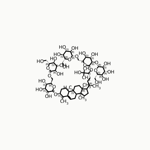 C[C@H](CC[C@@H](O[C@@H]1O[C@H](CO[C@@H]2O[C@H](CO)[C@@H](O)[C@H](O)[C@H]2O)[C@@H](O)[C@H](O)[C@H]1O[C@H]1O[C@@H](CO)[C@H](O)[C@@H](O)[C@@H]1O)C(C)(C)O)C1CC[C@@]2(C)C3CC=C4C(CC[C@H](O[C@@H]5O[C@H](CO[C@@H]6O[C@H](CO)[C@@H](O)[C@H](O)[C@H]6O)[C@@H](O)[C@H](O)[C@H]5O)[C@@H]4C)[C@]3(C)CC[C@]12C